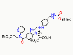 CCCCCCOC(=O)NN=Cc1ccc(NCc2nc3cc(C(=O)N(CCC(=O)OCC)c4ccccn4)ccc3n2C)cc1.O=C(O)CC(=O)O